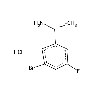 C[C@@H](N)c1cc(F)cc(Br)c1.Cl